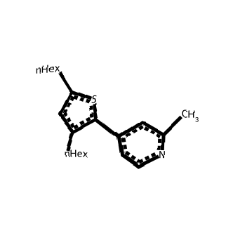 CCCCCCc1cc(CCCCCC)c(-c2ccnc(C)c2)s1